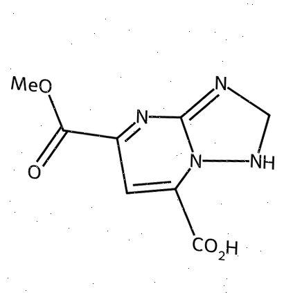 COC(=O)C1=NC2=NCNN2C(C(=O)O)=C1